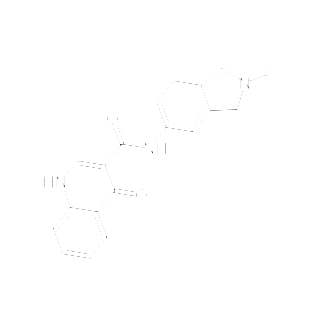 CCN1CC2=CC(NC(=O)c3c[nH]c4ccccc4c3=O)=CCC2C1